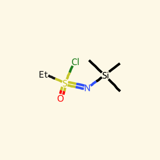 CCS(=O)(Cl)=N[Si](C)(C)C